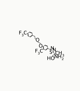 CC(N)(CO)c1nnc(-c2ccc(OCCOCCc3ccc(C(F)(F)F)cc3)c(C(F)(F)F)c2)s1